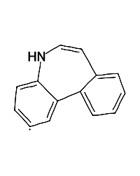 [c]1ccc2c(c1)-c1ccccc1C=CN2